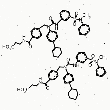 CN(c1ccccc1)S(=O)(=O)c1cccc(NC(=O)N(Cc2ccc(C(=O)NCCC(=O)O)cc2)c2ccc(C3=CCCCC3)cc2)c1.CN(c1ccccc1)S(=O)(=O)c1cccc(NC(=O)N(Cc2ccc(C(=O)NCCC(=O)O)cc2)c2ccc(C3CCCCC3)cc2)c1